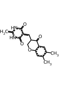 C=c1[nH]c(=O)c(=CC2COc3cc(C)c(C)cc3C2=O)c(=O)[nH]1